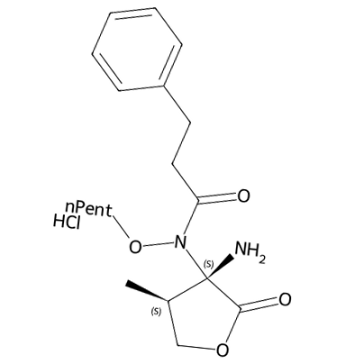 CCCCCON(C(=O)CCc1ccccc1)[C@]1(N)C(=O)OC[C@H]1C.Cl